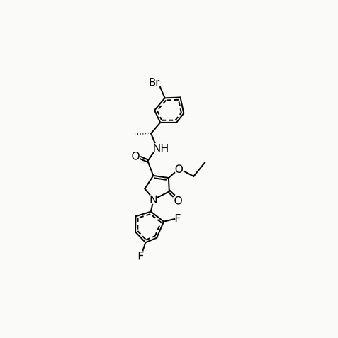 CCOC1=C(C(=O)N[C@H](C)c2cccc(Br)c2)CN(c2ccc(F)cc2F)C1=O